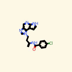 C=C(CCn1cnc2cnc3[nH]ccc3c21)NC(=O)c1ccc(Cl)cc1